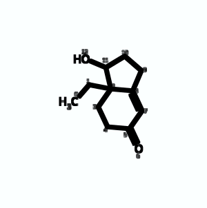 CCC12CCC(=O)C=C1CCC2O